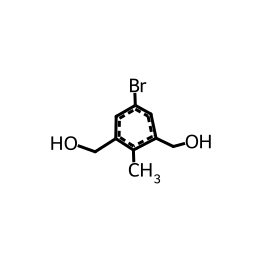 Cc1c(CO)cc(Br)cc1CO